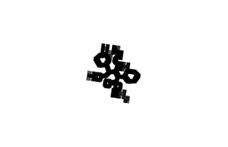 NN=CNC(=C(C(=O)ON)c1ccccc1)C(CO)c1ccccc1